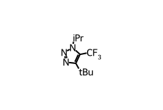 CC(C)n1nnc(C(C)(C)C)c1C(F)(F)F